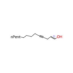 CCCCCCCCCC#CC/C=C/O